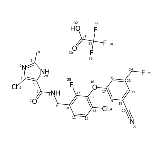 Cc1nc(Cl)c(C(=O)NCc2ccc(Cl)c(Oc3cc(C#N)cc(CF)c3)c2F)[nH]1.O=C(O)C(F)(F)F